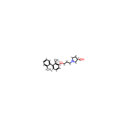 Cc1ccccc1-c1cccc(OCCCN2CC[C@@H](O)C2)c1C